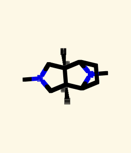 CN1C[C@@H]2C3CCC([C@@H]2C1)N3C